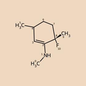 CNC1=CC(C)CC[C@]1(C)F